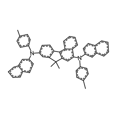 Cc1ccc(N(c2ccc3c(c2)C(C)(C)c2cc(N(c4ccc(C)cc4)c4ccc5ccccc5c4)c4ccccc4c2-3)c2ccc3ccccc3c2)cc1